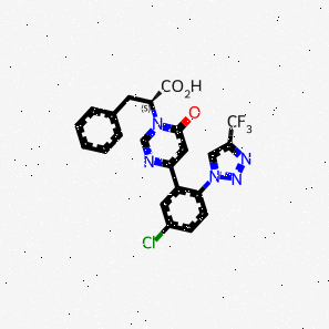 O=C(O)[C@H](Cc1ccccc1)n1cnc(-c2cc(Cl)ccc2-n2cc(C(F)(F)F)nn2)cc1=O